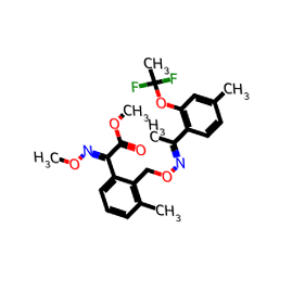 CO/N=C(/C(=O)OC)c1cccc(C)c1CO/N=C(\C)c1ccc(C)cc1OC(C)(F)F